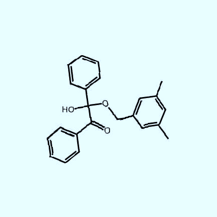 Cc1cc(C)cc(COC(O)(C(=O)c2ccccc2)c2ccccc2)c1